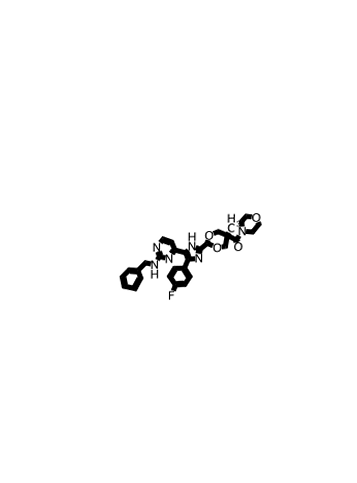 CC1(C(=O)N2CCOCC2)COC(c2nc(-c3ccc(F)cc3)c(-c3ccnc(NCc4ccccc4)n3)[nH]2)OC1